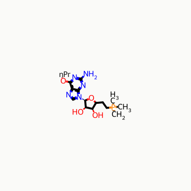 C=P(C)(C)CCC1O[C@@H](n2cnc3c(OCCC)nc(N)nc32)[C@H](O)[C@@H]1O